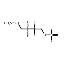 O=P(F)(F)OCC(F)(F)C(F)(F)COS(=O)(=O)O